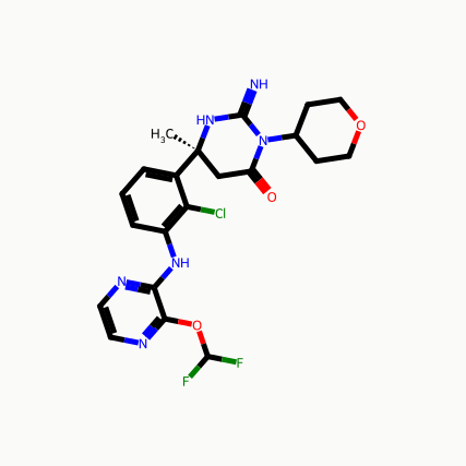 C[C@@]1(c2cccc(Nc3nccnc3OC(F)F)c2Cl)CC(=O)N(C2CCOCC2)C(=N)N1